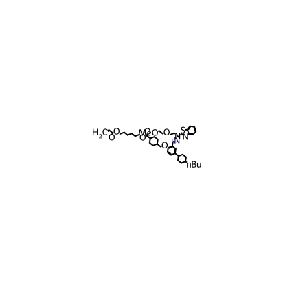 C=CC(=O)OCCCCCCOC(=O)C1CCC(COc2ccc(C3CCC(CCCC)CC3)cc2/C=N/N(CCOCCOC)c2nc3ccccc3s2)CC1